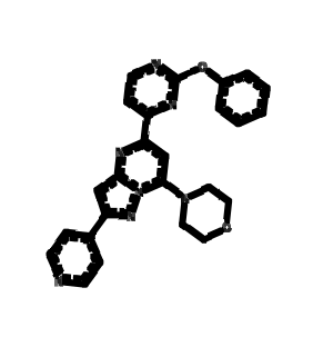 c1ccc(Oc2nccc(-c3cc(N4CCOCC4)n4nc(-c5ccncc5)cc4n3)n2)cc1